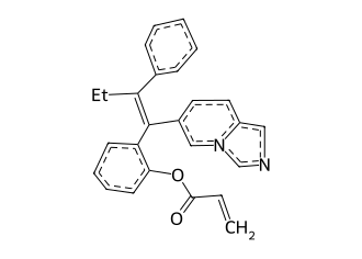 C=CC(=O)Oc1ccccc1/C(=C(\CC)c1ccccc1)c1ccc2cncn2c1